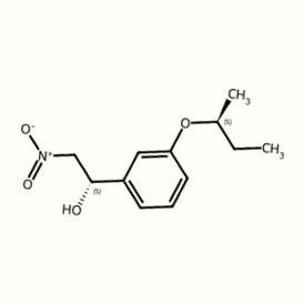 CC[C@H](C)Oc1cccc([C@H](O)C[N+](=O)[O-])c1